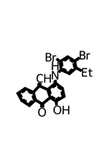 C=C1c2ccccc2C(=O)c2c(O)ccc(Nc3cc(CC)c(Br)cc3Br)c21